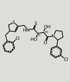 O=C([C@H](O)[C@@H](O)C(=S)NCC1=CC(Cc2ccccc2Cl)CS1)N1CCCC1c1cccc(Cl)c1